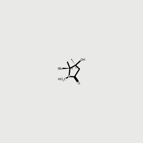 CC(C)(C)[C@]1(C)N(C(=O)O)C(=O)C[C@]1(C)O